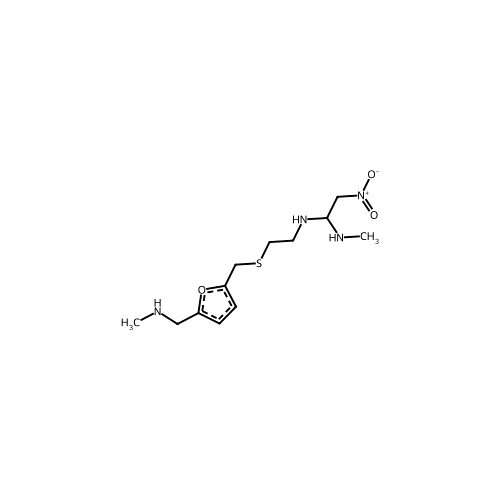 CNCc1ccc(CSCCNC(C[N+](=O)[O-])NC)o1